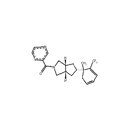 CC1([C@@H]2C[C@@H]3CN(C(=O)c4cnccn4)C[C@@H]3C2)CC=CC=C1C(F)(F)F